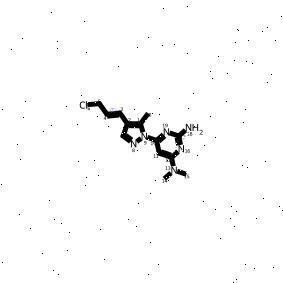 Cc1c(/C=C/CCl)cnn1-c1cc(N(C)C)nc(N)n1